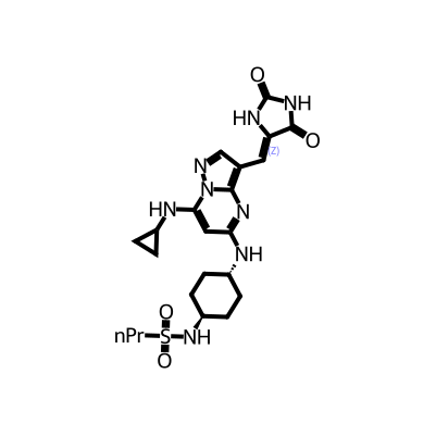 CCCS(=O)(=O)N[C@H]1CC[C@H](Nc2cc(NC3CC3)n3ncc(/C=C4\NC(=O)NC4=O)c3n2)CC1